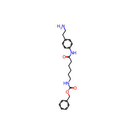 NCCc1ccc(NC(=O)CCCCCNC(=O)OCc2ccccc2)cc1